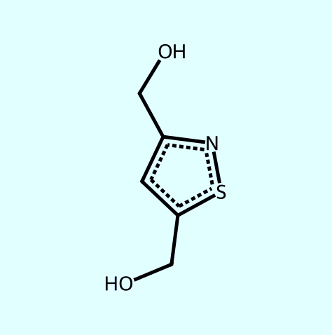 OCc1cc(CO)sn1